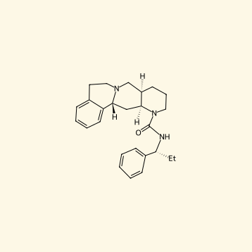 CC[C@@H](NC(=O)N1CCC[C@@H]2CN3CCc4ccccc4[C@H]3C[C@@H]21)c1ccccc1